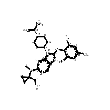 CN(c1ncc2nc(Nc3c(F)cc(Cl)cc3Cl)n([C@H]3CC[C@@H](C(N)=O)CC3)c2n1)C1(CO)CC1